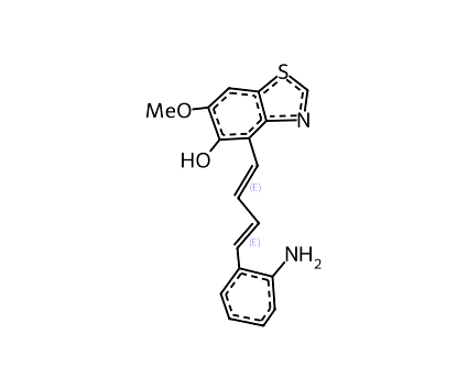 COc1cc2scnc2c(/C=C/C=C/c2ccccc2N)c1O